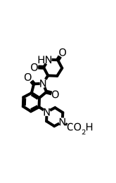 O=C1CCC(N2C(=O)c3cccc(N4CCN(C(=O)O)CC4)c3C2=O)C(=O)N1